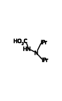 CC(C)N(NC(=O)O)C(C)C